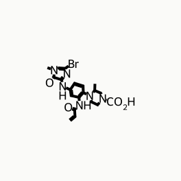 C=CC(=O)Nc1cc(Nc2nc(Br)cn(C)c2=O)ccc1N1CCN(C(=O)O)CC1C